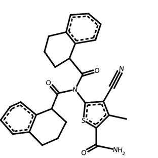 Cc1c(C(N)=O)sc(N(C(=O)C2CCCc3ccccc32)C(=O)C2CCCc3ccccc32)c1C#N